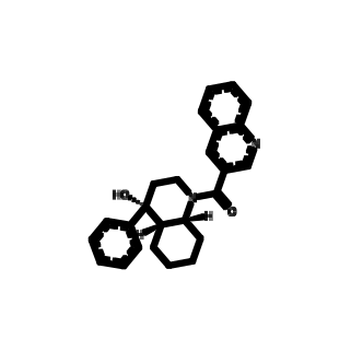 O=C(c1cnc2ccccc2c1)N1CC[C@](O)(c2ccccc2)[C@H]2CCCC[C@H]21